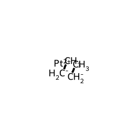 [CH2-]C.[CH2-]C.[Pt+2]